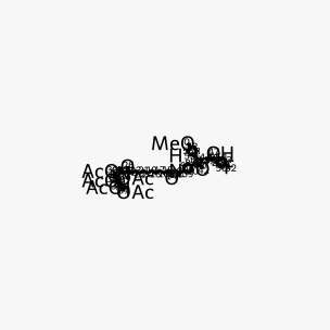 COc1ccc([C@H]2C(c3ccc(CNC(=O)CCCCCCCCCCC(=O)NC[C@H](OC(C)=O)[C@@H](OC(C)=O)[C@H](OC(C)=O)[C@@H](COC(C)=O)OC(C)=O)cc3)C(=O)[C@@H]2CC[C@H](O)c2ccc(F)cc2)cc1